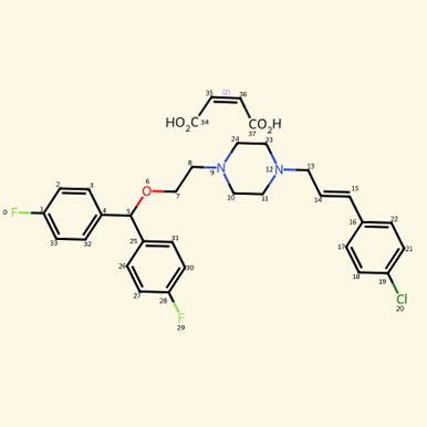 Fc1ccc(C(OCCN2CCN(CC=Cc3ccc(Cl)cc3)CC2)c2ccc(F)cc2)cc1.O=C(O)/C=C\C(=O)O